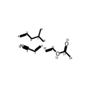 C=CC#N.C=CCC(C)C.C=COC(C)=O